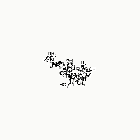 CC(C)C[C@H](NC(=O)CN)C(=O)NCC(=O)N[C@@H](CC(C)C)C(=O)N1CCC[C@H]1C(=O)N[C@@H](Cc1ccc(O)cc1)C(=O)N[C@@H](CCC(=O)O)C(=O)N[C@@H](C)C(=O)N[C@@H](Cc1ccc(O)cc1)C(=O)N[C@@H](CS)C(N)=O